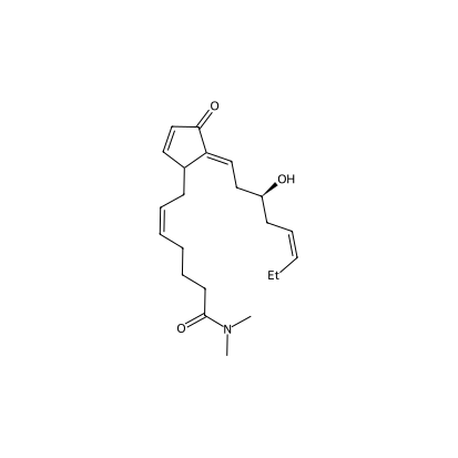 CC/C=C\C[C@H](O)C/C=C1/C(=O)C=CC1C/C=C\CCCC(=O)N(C)C